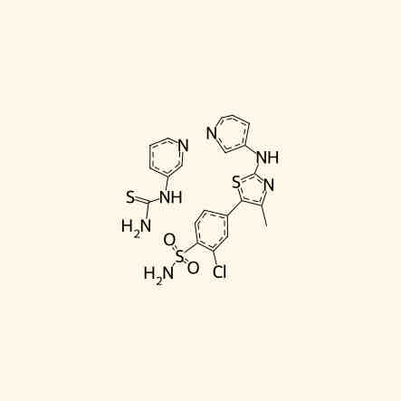 Cc1nc(Nc2cccnc2)sc1-c1ccc(S(N)(=O)=O)c(Cl)c1.NC(=S)Nc1cccnc1